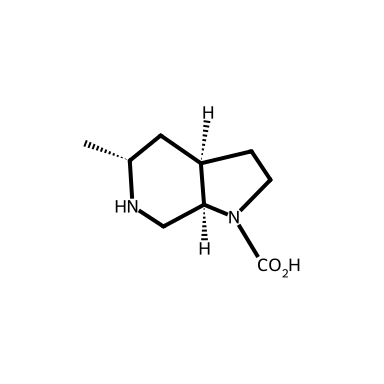 C[C@@H]1C[C@H]2CCN(C(=O)O)[C@H]2CN1